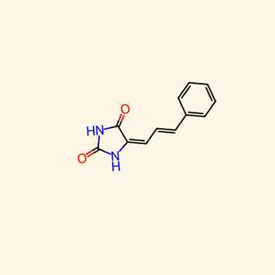 O=C1NC(=O)/C(=C\C=C\c2ccccc2)N1